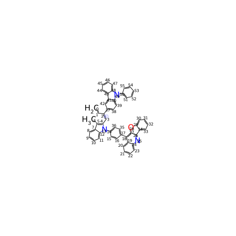 C=C/C(=C\c1c(C)c2ccccc2n1-c1ccc(-c2c3ccccc3nc3c2oc2ccccc23)cc1)c1ccc2c(c1)c1ccccc1n2-c1ccccc1